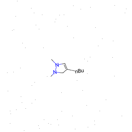 CCCCC1=CN(C)N(C)C1